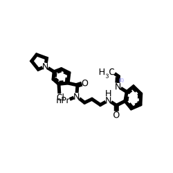 C/C=N/c1ccccc1C(=O)NCCCN(CCC)C(=O)c1ccc(N2CCCC2)cc1Cl